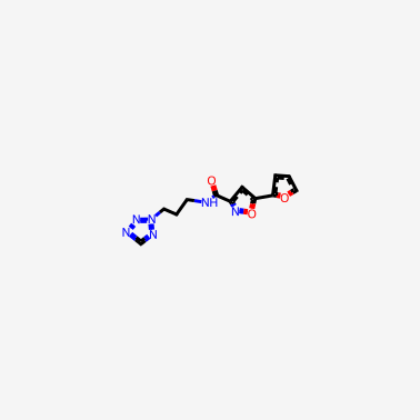 O=C(NCCCn1ncnn1)c1cc(-c2ccco2)on1